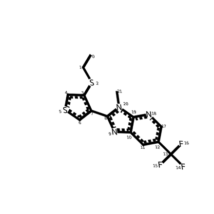 CCSc1cscc1-c1nc2cc(C(F)(F)F)cnc2n1C